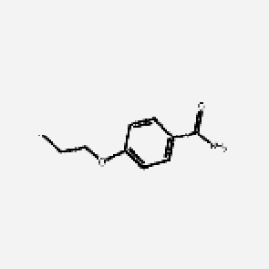 [CH2]CCOc1ccc(C(N)=O)cc1